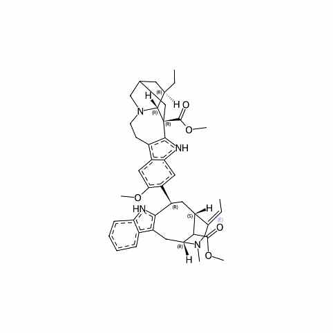 C/C=C1/CN(C)[C@@H]2Cc3c([nH]c4ccccc34)[C@@H](c3cc4[nH]c5c(c4cc3OC)CCN3CC4C[C@@H](CC)[C@@H]3[C@]5(C(=O)OC)C4)C[C@H]1C2C(=O)OC